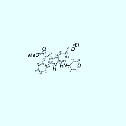 CCOCc1cc(NC2CCOCC2)c2[nH]c(-c3ccccc3)c(/C=C/C(=O)OC)c2c1